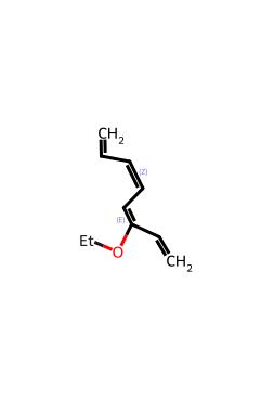 C=C/C=C\C=C(/C=C)OCC